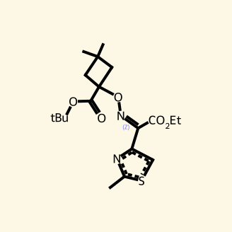 CCOC(=O)/C(=N\OC1(C(=O)OC(C)(C)C)CC(C)(C)C1)c1csc(C)n1